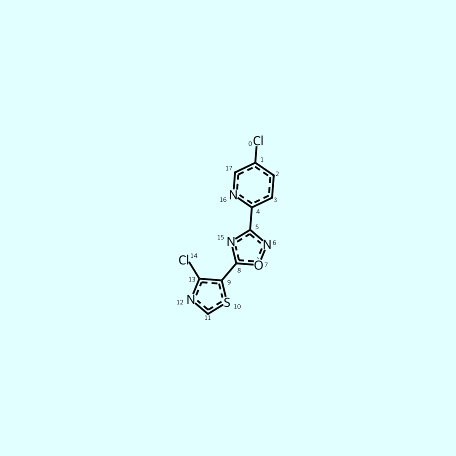 Clc1ccc(-c2noc(-c3scnc3Cl)n2)nc1